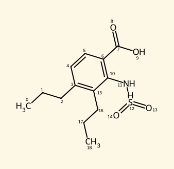 CCCc1ccc(C(=O)O)c(N[SH](=O)=O)c1CCC